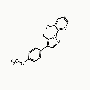 Fc1cccnc1-n1ncc(-c2ccc(OC(F)(F)F)cc2)c1I